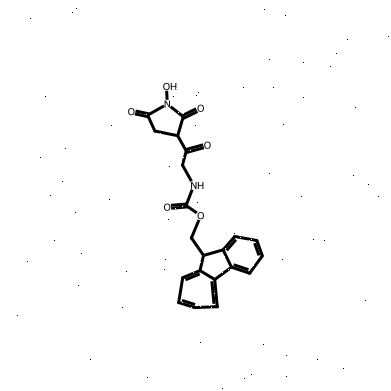 O=C(NCC(=O)C1CC(=O)N(O)C1=O)OCC1c2ccccc2-c2ccccc21